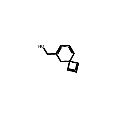 OCC1=CC=CC2(C=C=C2)C1